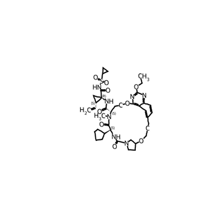 C=C[C@@H]1C[C@]1(NC(=O)[C@@H]1CCOc2nc(OCC)nc3ccc(cc23)CCCOC2CCN(C2)C(=O)N[C@@H](C2CCCC2)C(=O)N1C)C(=O)NS(=O)(=O)C1CC1